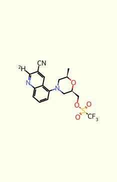 [2H]c1nc2cccc(N3C[C@H](COS(=O)(=O)C(F)(F)F)O[C@H](C)C3)c2cc1C#N